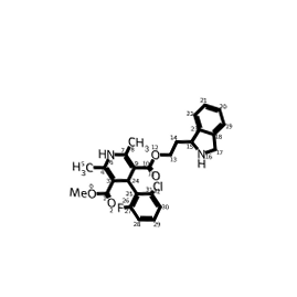 COC(=O)C1=C(C)NC(C)=C(C(=O)OCCC2NCc3ccccc32)C1c1c(F)cccc1Cl